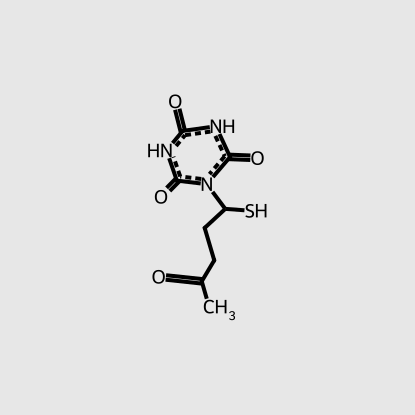 CC(=O)CCC(S)n1c(=O)[nH]c(=O)[nH]c1=O